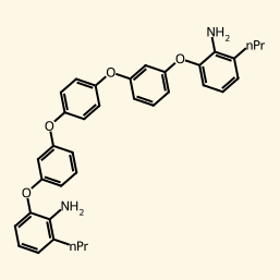 CCCc1cccc(Oc2cccc(Oc3ccc(Oc4cccc(Oc5cccc(CCC)c5N)c4)cc3)c2)c1N